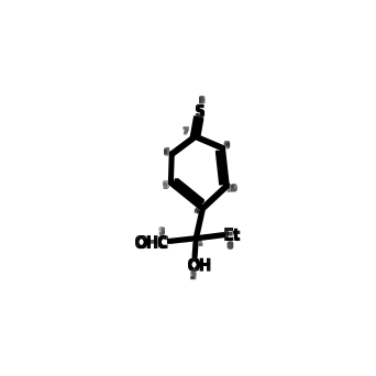 CCC(O)(C=O)C1=CCC(=S)C=C1